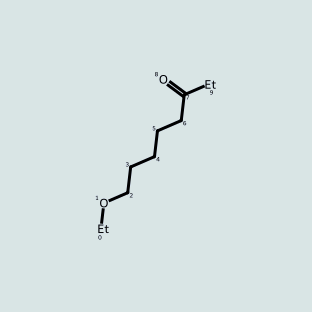 CCOCCCCCC(=O)CC